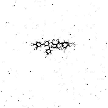 Cc1ccc(C(=O)c2c(C)cn(Cc3ccc(F)cc3)c2C(=O)N2CCN(c3ccc(Cl)c(Cl)c3)CC2)cc1